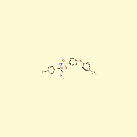 CN(C)C[C@H](NS(=O)(=O)c1ccc(Oc2ccc(C(F)(F)F)cc2)cc1)c1ccc(Cl)cc1